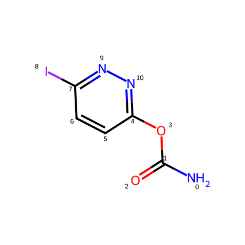 NC(=O)Oc1ccc(I)nn1